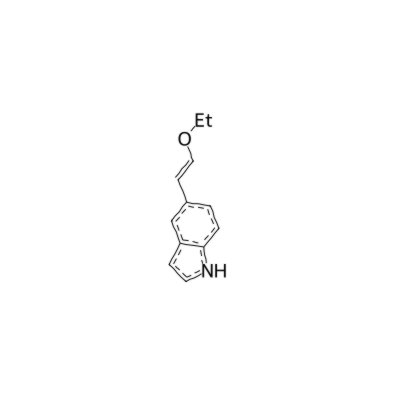 CCOC=Cc1ccc2[nH]ccc2c1